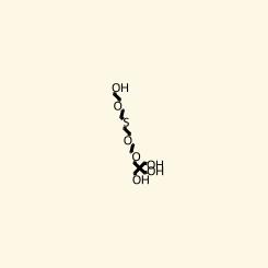 OCCOCCSCCOCCOCC(CO)(CO)CO